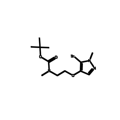 CN(CCOc1cnn(C)c1Br)C(=O)OC(C)(C)C